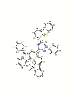 C[Si]1(C)c2ccccc2-c2ccc3c(-c4nc(-c5ccccc5)cc(-c5cccc6c5sc5ccccc56)n4)cc4c(c5ccccc5n4-c4ccccc4)c3c21